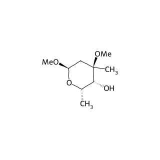 CO[C@H]1C[C@@](C)(OC)[C@H](O)[C@H](C)O1